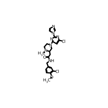 COc1ccc(CNC(=O)CC2CN(c3cc(Cl)nc(-n4ccnc4)n3)CCN2C)cc1Cl